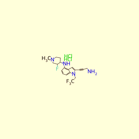 CN1CC[C@@H](Nc2cccc3c2cc(C#CCN)n3CC(F)(F)F)[C@@H](F)C1.Cl.Cl